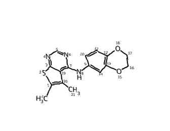 Cc1sc2ncnc(Nc3ccc4c(c3)OCCO4)c2c1C